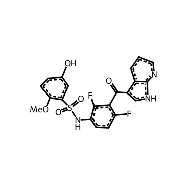 COc1ccc(O)cc1S(=O)(=O)Nc1ccc(F)c(C(=O)c2c[nH]c3ncccc23)c1F